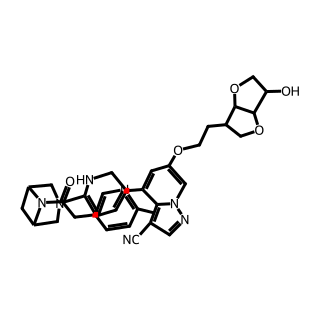 Cc1ccc(CC(=O)N2C3CC2CN(C2=CC=C(c4cc(OCCC5COC6C(O)COC56)cn5ncc(C#N)c45)CN2)C3)cn1